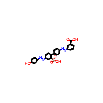 O=C(O)c1cccc(N=Nc2ccc(-c3ccc(N=Nc4ccc(O)cc4)cc3S(=O)(=O)O)cc2)c1